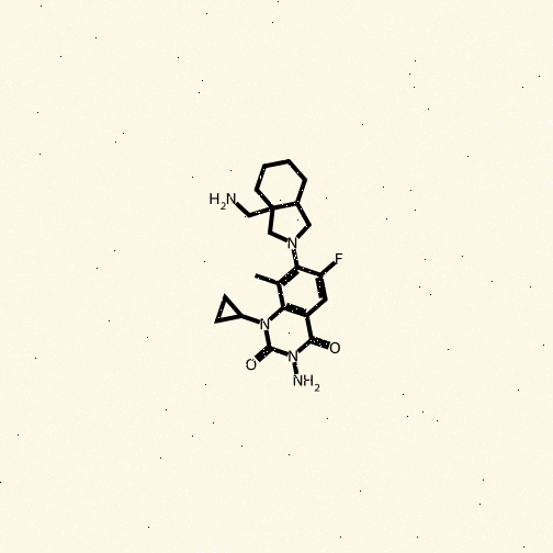 Cc1c(N2CC3CCCCC3(CN)C2)c(F)cc2c(=O)n(N)c(=O)n(C3CC3)c12